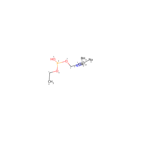 B.CCOP(O)OCC.N#[C][Na]